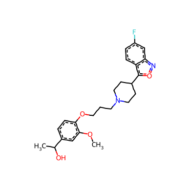 COc1cc(C(C)O)ccc1OCCCN1CCC(c2onc3cc(F)ccc23)CC1